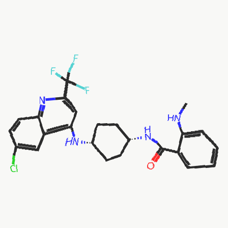 CNc1ccccc1C(=O)N[C@H]1CC[C@@H](Nc2cc(C(F)(F)F)nc3ccc(Cl)cc23)CC1